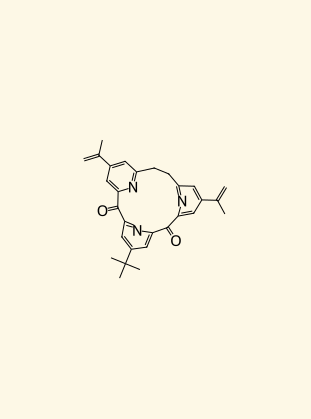 C=C(C)c1cc2nc(c1)C(=O)c1cc(C(C)(C)C)cc(n1)C(=O)c1cc(C(=C)C)cc(n1)CC2